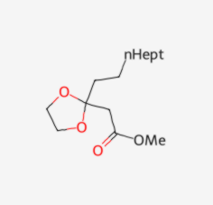 CCCCCCCCCC1(CC(=O)OC)OCCO1